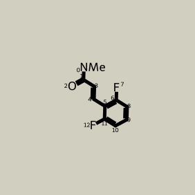 CNC(=O)/C=C/c1c(F)cccc1F